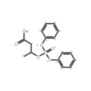 CC(CC(=O)O)OP(=O)(Oc1ccccc1)Oc1ccccc1